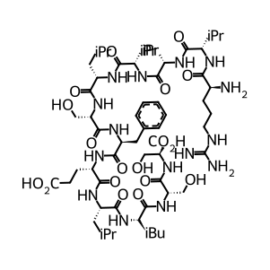 CC[C@H](C)[C@H](NC(=O)[C@H](CC(C)C)NC(=O)[C@H](CCC(=O)O)NC(=O)[C@H](Cc1ccccc1)NC(=O)[C@H](CO)NC(=O)[C@H](CC(C)C)NC(=O)[C@@H](NC(=O)[C@@H](NC(=O)[C@@H](NC(=O)[C@@H](N)CCCNC(=N)N)C(C)C)C(C)C)C(C)C)C(=O)N[C@@H](CO)C(=O)N[C@@H](CO)C(=O)O